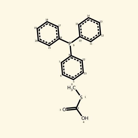 CSC(=O)O.c1ccc(P(c2ccccc2)c2ccccc2)cc1